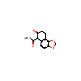 COC(=O)C1C(=O)CCc2c1ccc1c2OCO1